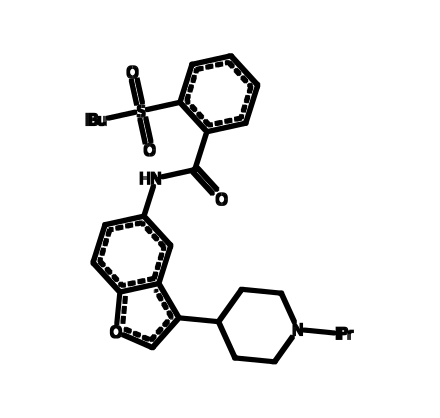 CCC(C)S(=O)(=O)c1ccccc1C(=O)Nc1ccc2occ(C3CCN(C(C)C)CC3)c2c1